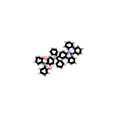 c1ccc([Si](c2ccccc2)(c2cc3c4c(c2)Oc2ccccc2B4c2ccccc2O3)c2ccc3c(c2)-c2ccccc2B2c4ccccc4-c4ccccc4N23)cc1